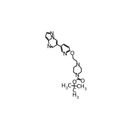 CC(C)(C)OC(=O)N1CCN(CCOc2ccc(-c3cnc4ccnn4c3)cn2)CC1